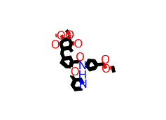 CCOC(=O)c1ccc(NC(=O)c2cc(CC3=C(C)C(=O)C(OC)=C(OC)C3=O)ccc2OCc2cccnc2)cc1